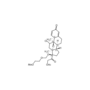 COCCOCO[C@]1(C(=O)COC(C)=O)CC[C@H]2[C@@H]3CCC4=CC(=O)C=C[C@]4(C)[C@@]3(Cl)C(Cl)C[C@@]21C